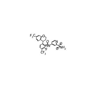 NS(=O)(=O)c1cc(NC(=O)c2c(C3CCOc4cc(C(F)(F)F)ccc43)ccc(C(F)(F)F)c2F)ccn1